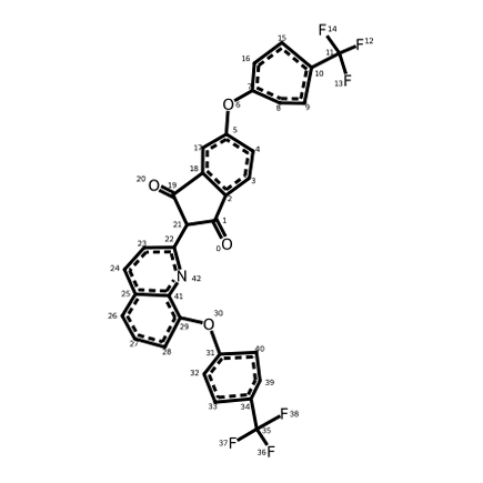 O=C1c2ccc(Oc3ccc(C(F)(F)F)cc3)cc2C(=O)C1c1ccc2cccc(Oc3ccc(C(F)(F)F)cc3)c2n1